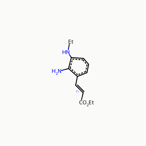 CCNc1cccc(/C=C/C(=O)OCC)c1N